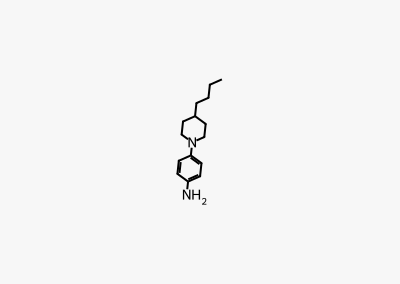 CCCCC1CCN(c2ccc(N)cc2)CC1